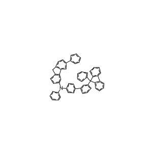 c1ccc(-c2ccc3c(c2)-c2cc(N(c4ccccc4)c4ccc(-c5cccc(C6(c7ccccc7)c7ccccc7-c7ccccc76)c5)cc4)ccc2C3)cc1